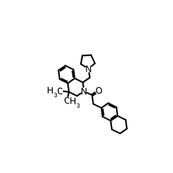 CC1(C)CN(C(=O)Cc2ccc3c(c2)CCCC3)C(CN2CCCC2)c2ccccc21